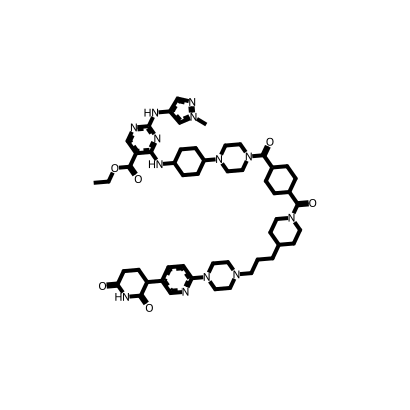 CCOC(=O)c1cnc(Nc2cnn(C)c2)nc1NC1CCC(N2CCN(C(=O)C3CCC(C(=O)N4CCC(CCCN5CCN(c6ccc(C7CCC(=O)NC7=O)cn6)CC5)CC4)CC3)CC2)CC1